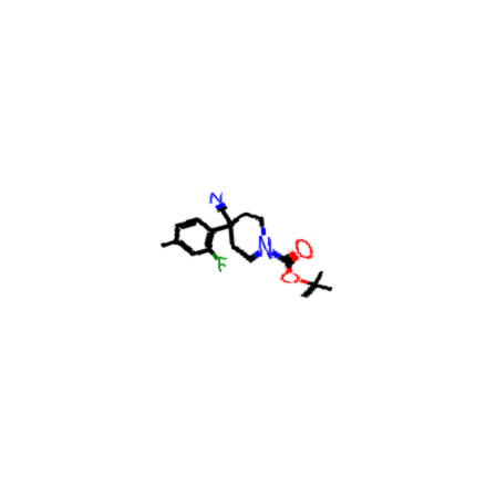 Cc1ccc(C2(C#N)CCN(C(=O)OC(C)(C)C)CC2)c(F)c1